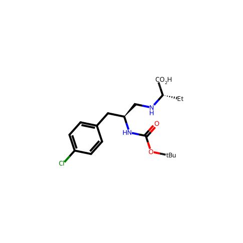 CC[C@H](NC[C@H](Cc1ccc(Cl)cc1)NC(=O)OC(C)(C)C)C(=O)O